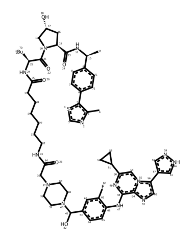 Cc1ncsc1-c1ccc([C@H](C)NC(=O)[C@@H]2C[C@@H](O)CN2C(=O)[C@@H](NC(=O)CCCCCCNC(=O)CN2CCN(C(O)c3ccc(Nc4nc(C5CC5)cn5c(-c6cn[nH]c6)cnc45)c(F)c3)CC2)C(C)(C)C)cc1